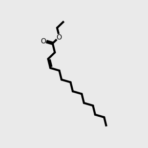 CCCCCCCCCC/C=C\CC(=O)OCC